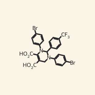 O=C(O)C1=C(C(=O)O)N(c2ccc(Br)cc2)C(c2ccc(C(F)(F)F)cc2)N(c2ccc(Br)cc2)C1